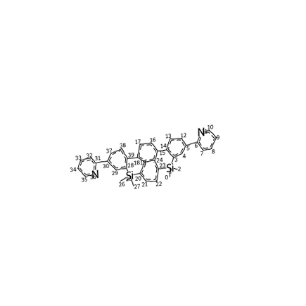 C[Si]1(C)c2cc(-c3ccccn3)ccc2-c2ccc3c4c(ccc1c24)[Si](C)(C)c1cc(-c2ccccn2)ccc1-3